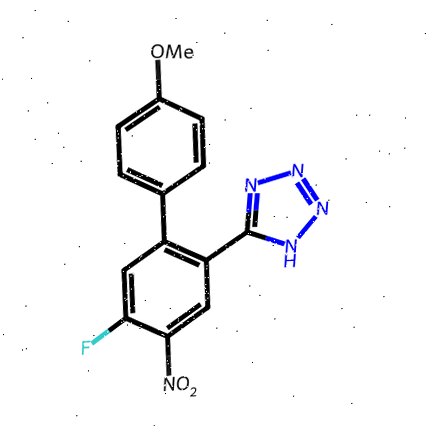 COc1ccc(-c2cc(F)c([N+](=O)[O-])cc2-c2nnn[nH]2)cc1